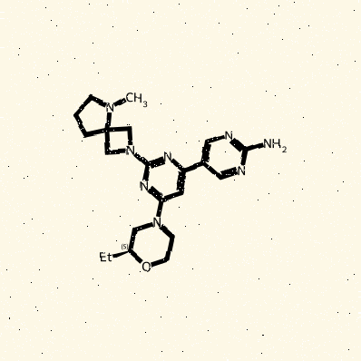 CC[C@H]1CN(c2cc(-c3cnc(N)nc3)nc(N3CC4(CCCN4C)C3)n2)CCO1